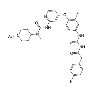 CC(=O)N1CCC(N(C)C(=O)Nc2cc(Oc3ccc(NC(=S)NC(=O)Cc4ccc(F)cc4)cc3F)ccn2)CC1